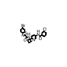 O=C(Nc1ccc(C2(NC(=O)c3nc4ccc(Br)cc4s3)CCC2)nc1)c1cccc(Cl)c1